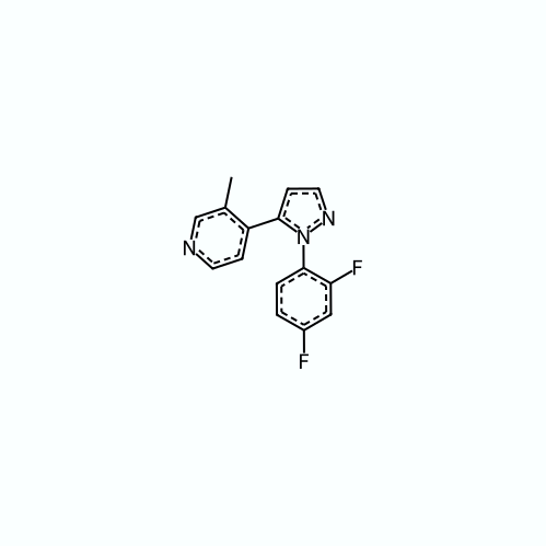 Cc1cnccc1-c1ccnn1-c1ccc(F)cc1F